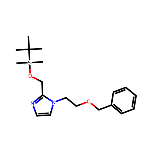 CC(C)(C)[Si](C)(C)OCc1nccn1CCOCc1ccccc1